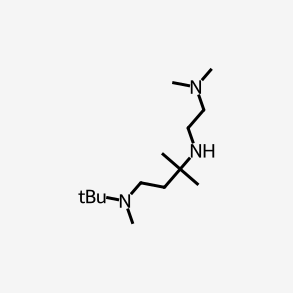 CN(C)CCNC(C)(C)CCN(C)C(C)(C)C